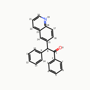 O=C(c1ccccc1)C(c1ccccc1)c1ccc2ncccc2c1